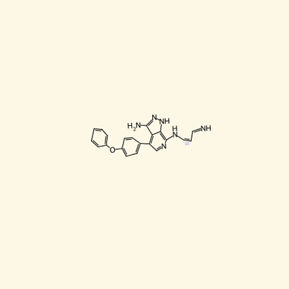 N=C/C=C\Nc1ncc(-c2ccc(Oc3ccccc3)cc2)c2c(N)n[nH]c12